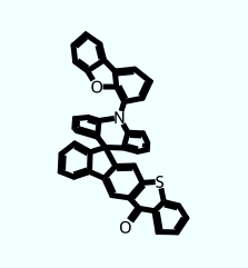 O=c1c2ccccc2sc2cc3c(cc12)-c1ccccc1C31c2ccccc2N(c2cccc3c2oc2ccccc23)c2ccccc21